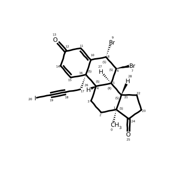 C[C@]12CC[C@H]3[C@@H]([C@H](Br)[C@@H](Br)C4=CC(=O)C=C[C@@]43CC#CI)[C@@H]1CCC2=O